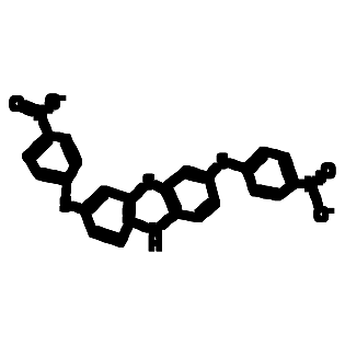 O=[N+]([O-])c1ccc(Sc2ccc3c(c2)Sc2cc(Sc4ccc([N+](=O)[O-])cc4)ccc2N3)cc1